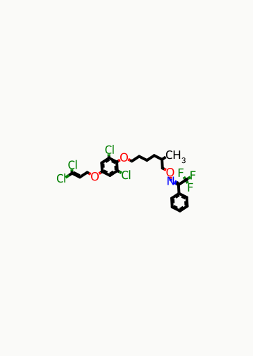 CC(CCCCOc1c(Cl)cc(OCC=C(Cl)Cl)cc1Cl)CON=C(c1ccccc1)C(F)(F)F